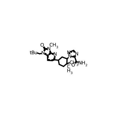 Cn1c(=O)n(CC(C)(C)C)c2ccc(C3CCC(C)(C)C(n4ncnc4C(N)=O)C3)nc21